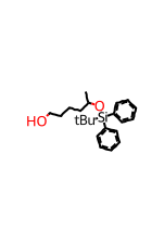 CC(CCCCO)O[Si](c1ccccc1)(c1ccccc1)C(C)(C)C